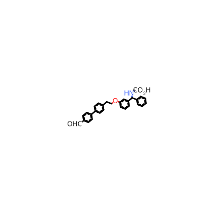 O=Cc1ccc(-c2ccc(CCOc3cccc(C(NC(=O)O)c4ccccc4)c3)cc2)cc1